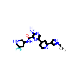 Nc1ncc(-c2ccnc(-c3cnn(CC(F)(F)F)c3)c2)nc1C(=O)NC1CNCC(F)(F)C1